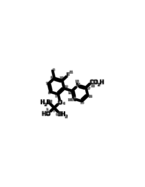 BC(B)(O)Oc1ccc(C)c(F)c1-c1nccc(C(=O)O)n1